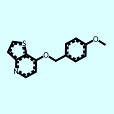 COc1ccc(COc2ccnc3ccsc23)cc1